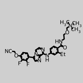 CCc1cc(Nc2nccn3c(-c4ccc(OCC#N)c(F)c4F)cnc23)ccc1C(=O)NCCOC[N+](C)(C)C